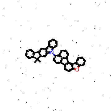 CC1(C)c2ccccc2-c2cc3c4ccccc4n(-c4ccc5c6c(cccc46)-c4c-5ccc5oc6ccccc6c45)c3cc21